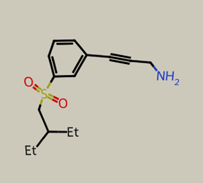 CCC(CC)CS(=O)(=O)c1cccc(C#CCN)c1